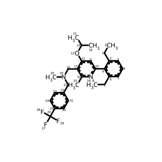 CCc1cccc(CC)c1-c1cc(OC(C)C)c(CN(C)Cc2ccc(C(F)(F)F)cc2)c(C)n1